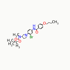 CCCCOc1ccc(C(=O)Nc2ccc(N3CCC(N(C)C(=O)OC(C)(C)C)C3)c(Br)c2)cc1